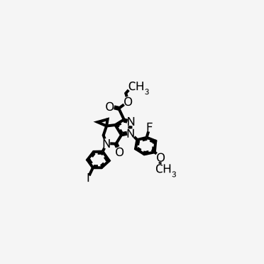 CCOC(=O)c1nn(-c2ccc(OC)cc2F)c2c1C1(CC1)CN(c1ccc(I)cc1)C2=O